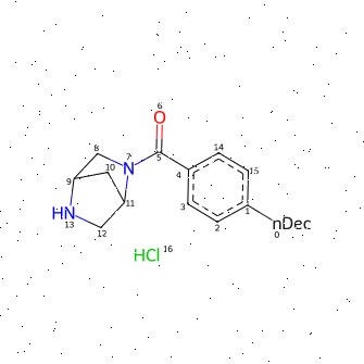 CCCCCCCCCCc1ccc(C(=O)N2CC3CC2CN3)cc1.Cl